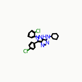 Clc1ccc(-c2c3ncnc(NC4CCCCC4)c3nn2-c2ccccc2Cl)cc1